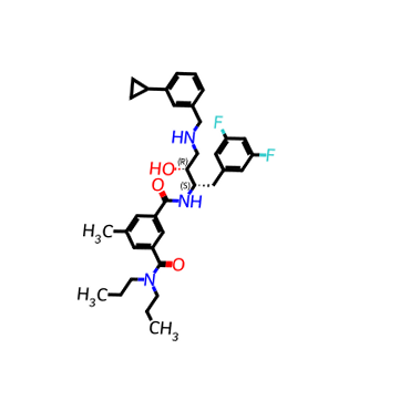 CCCN(CCC)C(=O)c1cc(C)cc(C(=O)N[C@@H](Cc2cc(F)cc(F)c2)[C@H](O)CNCc2cccc(C3CC3)c2)c1